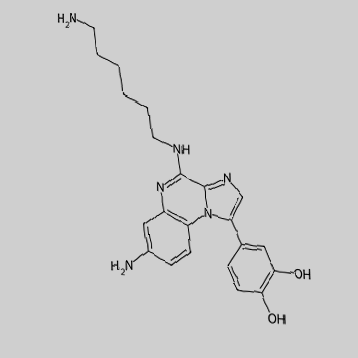 NCCCCCCNc1nc2cc(N)ccc2n2c(-c3ccc(O)c(O)c3)cnc12